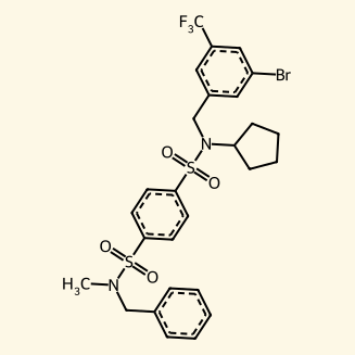 CN(Cc1ccccc1)S(=O)(=O)c1ccc(S(=O)(=O)N(Cc2cc(Br)cc(C(F)(F)F)c2)C2CCCC2)cc1